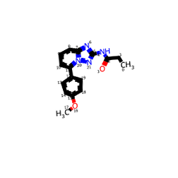 CCC(=O)Nc1nc2cccc(-c3ccc(OC)cc3)n2n1